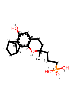 CC1(CCCP(=O)(O)O)CCc2cc(O)c3c(c2O1)C1CCC3C1